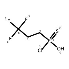 OP(=S)(Cl)CCC(F)(F)F